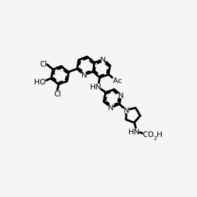 CC(=O)c1cnc2ccc(-c3cc(Cl)c(O)c(Cl)c3)nc2c1Nc1cnc(N2CCC(NC(=O)O)C2)nc1